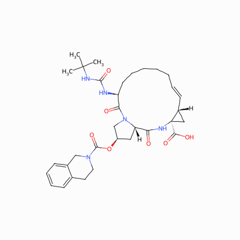 CC(C)(C)NC(=O)N[C@H]1CCCCC/C=C/[C@@H]2C[C@@]2(C(=O)O)NC(=O)[C@@H]2C[C@@H](OC(=O)N3CCc4ccccc4C3)CN2C1=O